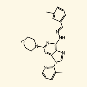 Cc1cccc(C=NNc2nc(N3CCOCC3)nc3c2ncn3-c2ncccc2C)c1